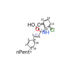 CCCCCc1ccc(/C=C/C(=O)Nc2c(Cl)cccc2C(=O)O)cc1